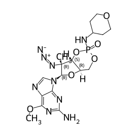 COc1nc(N)nc2c1ncn2[C@@H]1O[C@@H]2COP(=O)(NC3CCOCC3)O[C@H]2[C@@]1(C)N=[N+]=[N-]